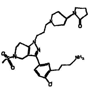 CS(=O)(=O)N1CCc2c(c(-c3ccc(Cl)c(CCCN)c3)nn2CCCN2CCC(N3CCCC3=O)CC2)C1